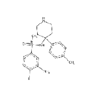 Cc1ccc(C2(N[SH](C)(=O)c3ccc(F)c(N)c3)CCNCC2)cc1